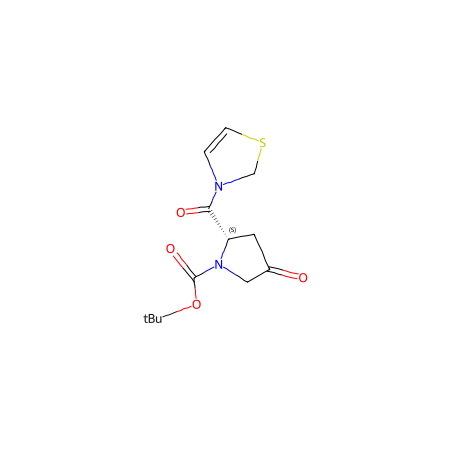 CC(C)(C)OC(=O)N1CC(=O)C[C@H]1C(=O)N1C=CSC1